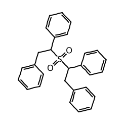 O=S(=O)(C(Cc1ccccc1)c1ccccc1)C(Cc1ccccc1)c1ccccc1